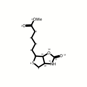 COC(=O)CCCCC1SCC2NC(=O)OC21